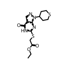 CCOC(=O)CSc1nc2c(cnn2C2CCSCC2)c(=O)[nH]1